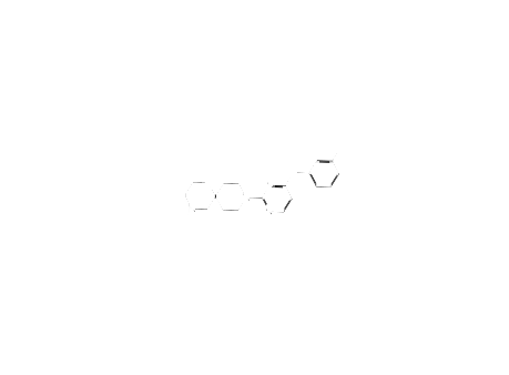 CN1CCOC2(CCN(c3nccc(Oc4cccc(F)c4)n3)CC2)C1